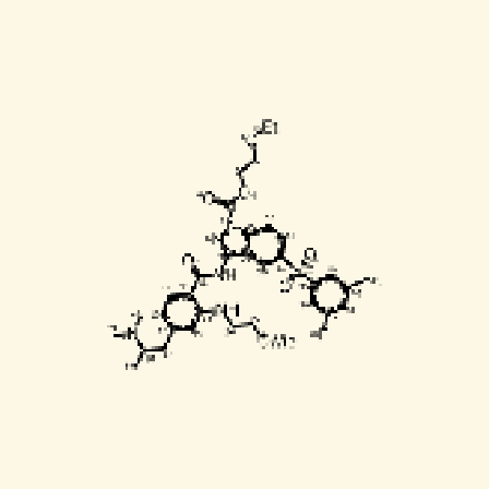 CCOCCOC(=O)n1nc(NC(=O)c2ccc(CC(C)N(C)C)cc2NCCOC)c2cc(S(=O)(=O)c3cc(F)cc(F)c3)ccc21